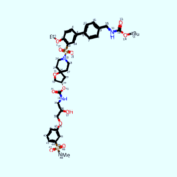 CCOc1ccc(-c2ccc(CNC(=O)OC(C)(C)C)cc2)cc1S(=O)(=O)N1CCC2(CC1)C[C@H](OC(=O)NCC(O)COc1cccc(S(=O)(=O)NC)c1)CO2